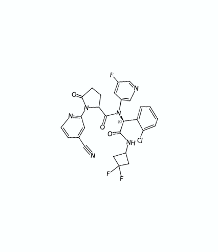 N#Cc1ccnc(N2C(=O)CCC2C(=O)N(c2cncc(F)c2)[C@H](C(=O)NC2CC(F)(F)C2)c2ccccc2Cl)c1